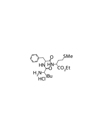 CCOC(=O)C(CCSC)NC(=O)C(Cc1ccccc1)NC(=O)C(N)C(C)CC.Cl